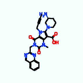 CC#CCn1c(N2CCC[C@@H](N)C2)c(C(=O)O)c2c1c(=O)n(Cc1ncc3ccccc3n1)c(=O)n2C